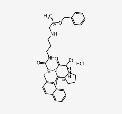 CCC(CC)C(=O)N(C(=O)[C@@H]1CCCN1)[C@H](Cc1ccc2ccccc2c1)C(=O)NCCCNC[C@@H](C)OCc1ccccc1.Cl